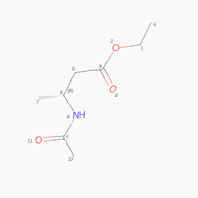 CCOC(=O)C[C@@H](C)NC(C)=O